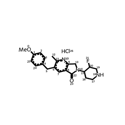 COc1ccc(Cc2cc3c(nc2C)CN(C2CCNCC2F)C3=O)cc1.Cl